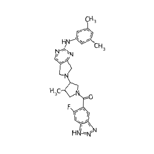 Cc1cc(C)cc(Nc2ncc3c(n2)CN(C2CN(C(=O)c4cc5nn[nH]c5cc4F)CC2C)C3)c1